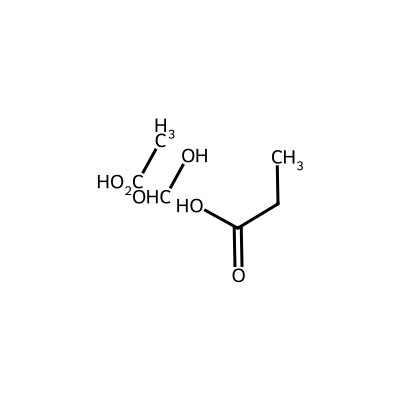 CC(=O)O.CCC(=O)O.O=CO